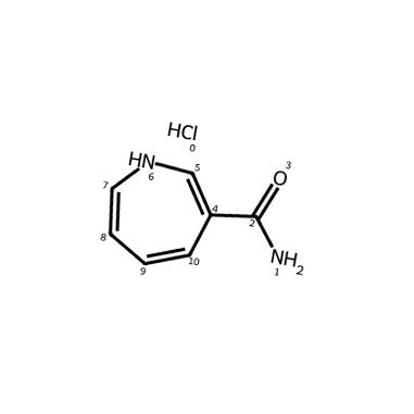 Cl.NC(=O)C1=CNC=CC=C1